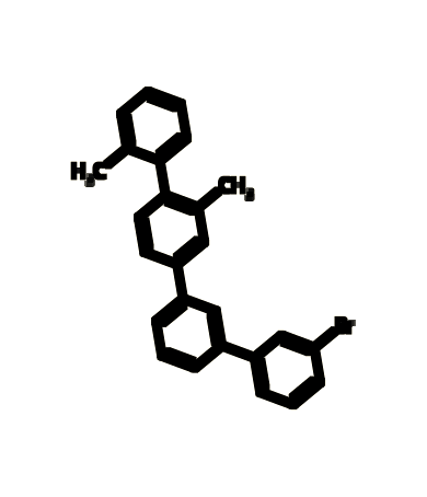 Cc1ccccc1-c1ccc(-c2cccc(-c3cccc(Br)c3)c2)cc1C